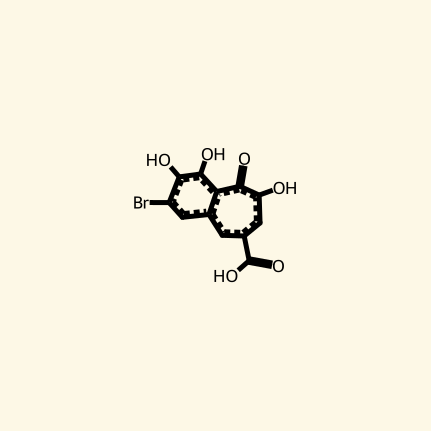 O=C(O)c1cc(O)c(=O)c2c(O)c(O)c(Br)cc2c1